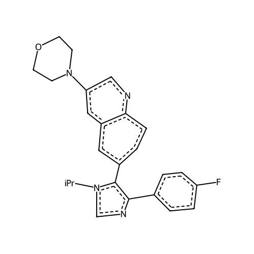 CC(C)n1cnc(-c2ccc(F)cc2)c1-c1ccc2ncc(N3CCOCC3)cc2c1